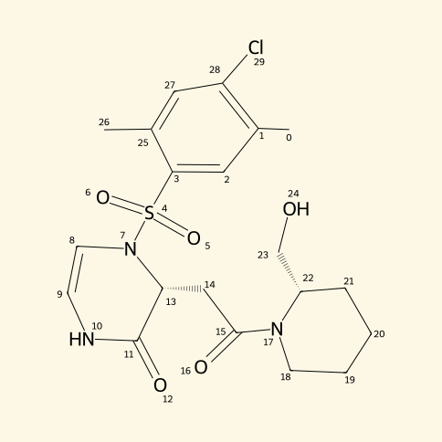 Cc1cc(S(=O)(=O)N2C=CNC(=O)[C@H]2CC(=O)N2CCCC[C@H]2CO)c(C)cc1Cl